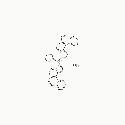 C1=C2C(=CC=[C]2[Zr+2]([C]2=CC=C3C2=CCc2ccc4ccccc4c23)=[C]2CCCC2)c2c(ccc3ccccc23)C1.[Cl-].[Cl-]